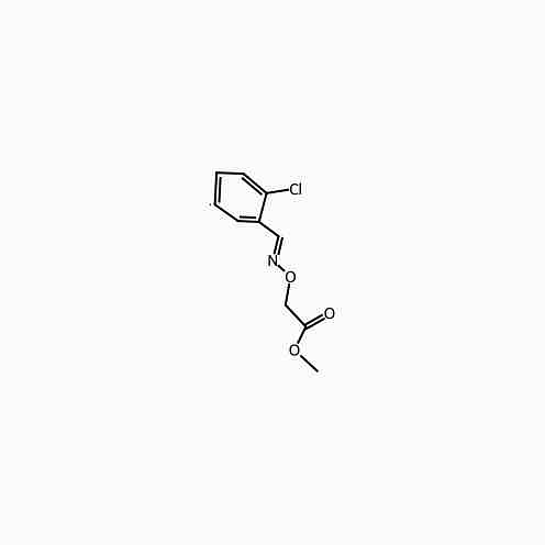 COC(=O)CON=Cc1c[c]ccc1Cl